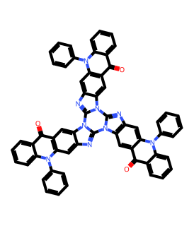 O=c1c2ccccc2n(-c2ccccc2)c2cc3nc4n(c3cc12)c1nc2cc3c(cc2n1c1nc2cc5c(cc2n41)c(=O)c1ccccc1n5-c1ccccc1)c(=O)c1ccccc1n3-c1ccccc1